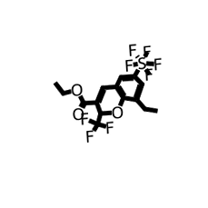 CCOC(=O)C1=Cc2cc(S(F)(F)(F)(F)F)cc(CC)c2OC1C(F)(F)F